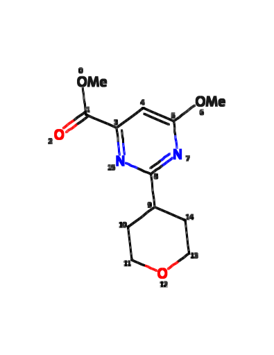 COC(=O)c1cc(OC)nc(C2CCOCC2)n1